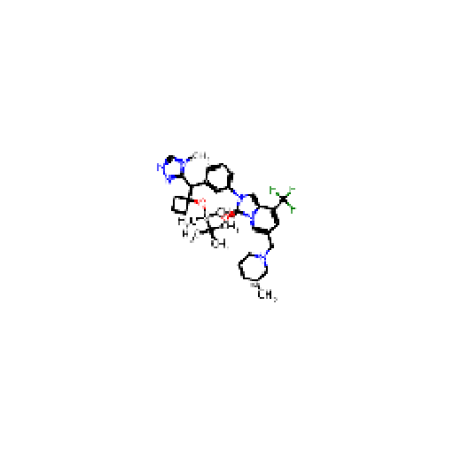 C[C@H]1CCCN(Cc2cc(C(F)(F)F)c3cn(-c4cccc(C(c5nncn5C)C5(O[Si](C)(C)C(C)(C)C)CCC5)c4)c(=O)n3c2)C1